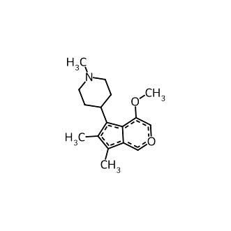 COc1cocc2c(C)c(C)c(C3CCN(C)CC3)c1-2